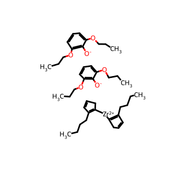 CCCCC1=[C]([Zr+2][C]2=C(CCCC)C=CC2)CC=C1.CCCOc1cccc(OCCC)c1[O-].CCCOc1cccc(OCCC)c1[O-]